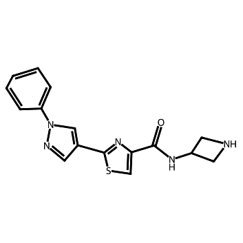 O=C(NC1CNC1)c1csc(-c2cnn(-c3ccccc3)c2)n1